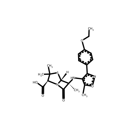 CCOc1ccc(-c2noc(C)c2N[C@@]2(C)C(=O)N3[C@@H](C(=O)O)C(C)(C)S[C@@H]32)cc1